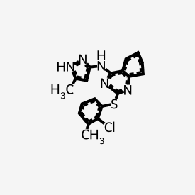 Cc1cc(Nc2nc(Sc3cccc(C)c3Cl)nc3ccccc23)n[nH]1